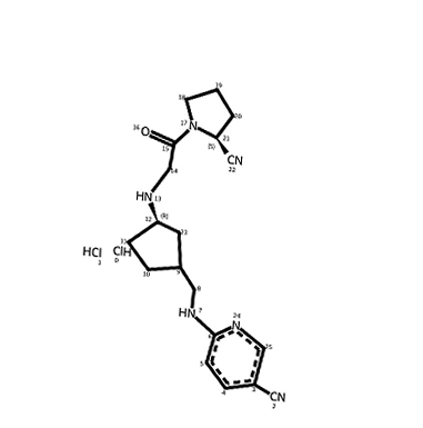 Cl.Cl.N#Cc1ccc(NCC2CC[C@@H](NCC(=O)N3CCC[C@H]3C#N)C2)nc1